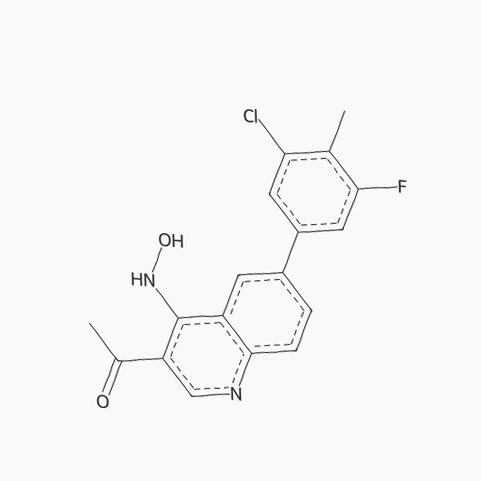 CC(=O)c1cnc2ccc(-c3cc(F)c(C)c(Cl)c3)cc2c1NO